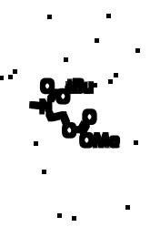 COC(=O)OCCN(C)C(=O)OC(C)(C)C